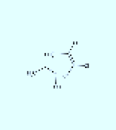 CC(C)CO.ClC(Cl)=C(Cl)Cl